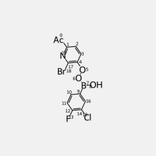 CC(=O)c1ccc(OOB(O)c2ccc(F)c(Cl)c2)c(Br)n1